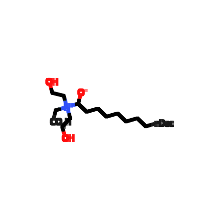 CCCCCCCCCCCCCCCCCC([O-])[N+](CCO)(CCO)CC(=O)O